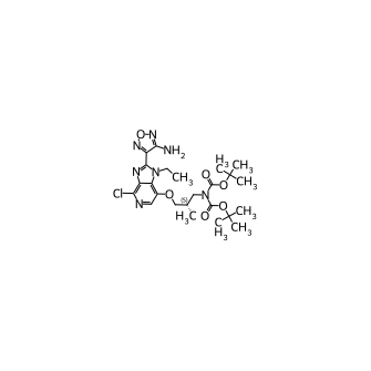 CCn1c(-c2nonc2N)nc2c(Cl)ncc(OC[C@@H](C)CN(C(=O)OC(C)(C)C)C(=O)OC(C)(C)C)c21